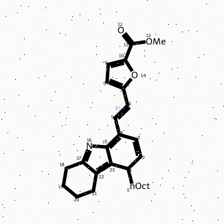 CCCCCCCCC1C=CC(/C=C/c2ccc(C(=O)OC)o2)=C2N=C3CCCCC3=C21